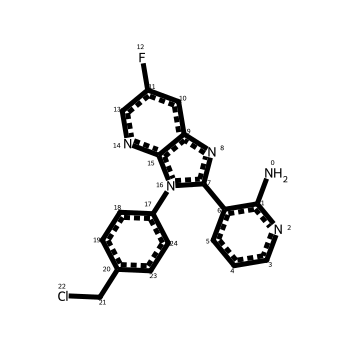 Nc1ncccc1-c1nc2cc(F)cnc2n1-c1ccc(CCl)cc1